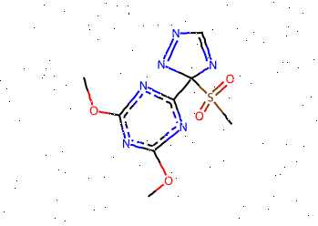 COc1nc(OC)nc(C2(S(C)(=O)=O)N=CN=N2)n1